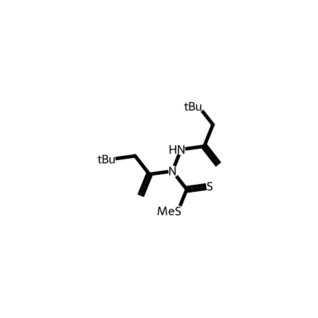 C=C(CC(C)(C)C)NN(C(=C)CC(C)(C)C)C(=S)SC